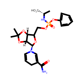 C[C@H](NP(=O)(OCC1O[C@@H](N2C=CCC(C(N)=O)=C2)[C@@H]2OC(C)(C)O[C@H]12)Oc1ccccc1)C(=O)O